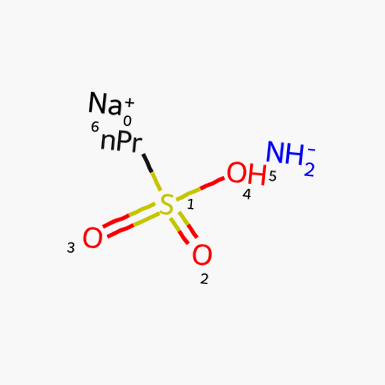 CCCS(=O)(=O)O.[NH2-].[Na+]